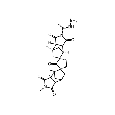 BBB(C)N1C(=O)C2[C@@H](C1=O)[C@H]1C[C@@H]2[C@]2(CC[C@]3(CC4C[C@@H]3[C@@H]3C(=O)N(C)C(=O)C43)C2=O)C1